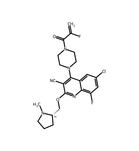 C=C(F)C(=O)N1CCN(c2c(C#N)c(OC[C@@H]3CCCN3C)nc3c(F)cc(Cl)cc23)CC1